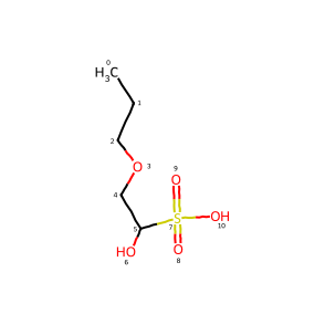 CCCOCC(O)S(=O)(=O)O